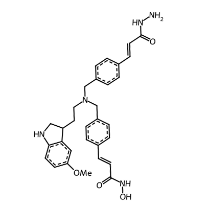 COc1ccc2c(c1)C(CCN(Cc1ccc(/C=C/C(=O)NN)cc1)Cc1ccc(/C=C/C(=O)NO)cc1)CN2